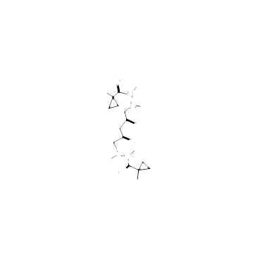 CN(CC(=S)CC(=S)CN(C)N(C)C(=O)C1(C)CC1)N(C)C(=O)C1(C)CC1